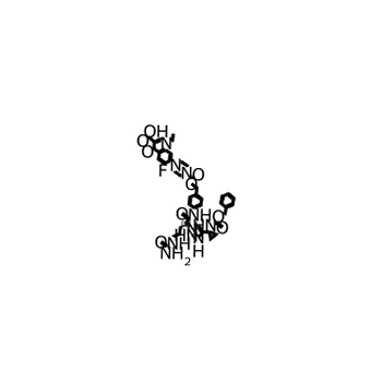 CCn1cc(C(=O)O)c(=O)c2cc(F)c(N3CCN(C(=O)OCc4ccc(NC(=O)[C@H](CCCNC(N)=O)N5C=C(C6(NC(=O)OCc7ccccc7)CC6)NN5)cc4)CC3)cc21